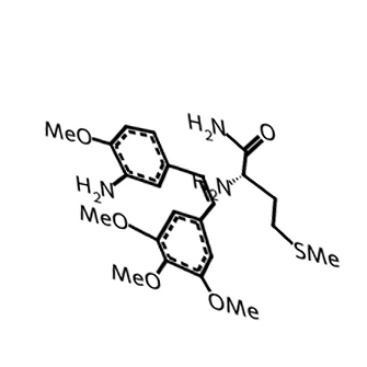 COc1ccc(/C=C\c2cc(OC)c(OC)c(OC)c2)cc1N.CSCC[C@H](N)C(N)=O